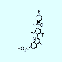 Cc1cc(-c2c(F)cc(S(=O)(=O)N3CCC(F)CC3)cc2F)nc2cc(C(=O)O)ccc12